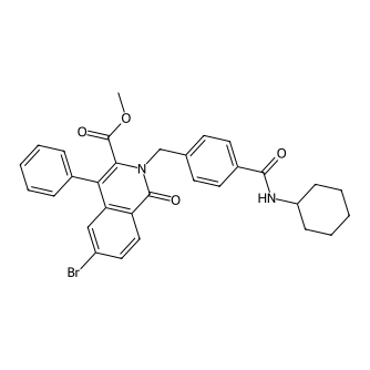 COC(=O)c1c(-c2ccccc2)c2cc(Br)ccc2c(=O)n1Cc1ccc(C(=O)NC2CCCCC2)cc1